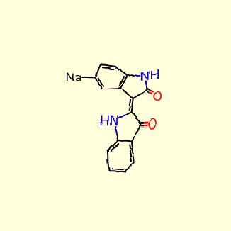 O=C1Nc2cc[c]([Na])cc2C1=C1Nc2ccccc2C1=O